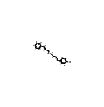 Clc1ccc(C=CCON=CC=Cc2ccccc2)cc1